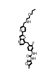 CCCOCCNCc1ccc(-c2cc3nccc(Cc4ccc(NC(=O)Nc5cc(C)on5)cc4F)c3s2)nc1